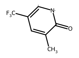 CC1=CC(C(F)(F)F)=[C][N]C1=O